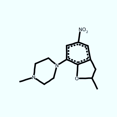 CC1Cc2cc([N+](=O)[O-])cc(N3CCN(C)CC3)c2O1